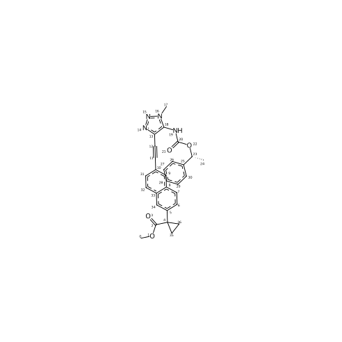 COC(=O)C1(c2ccc3cc(C#Cc4nnn(C)c4NC(=O)O[C@H](C)c4ccccc4)ccc3c2)CC1